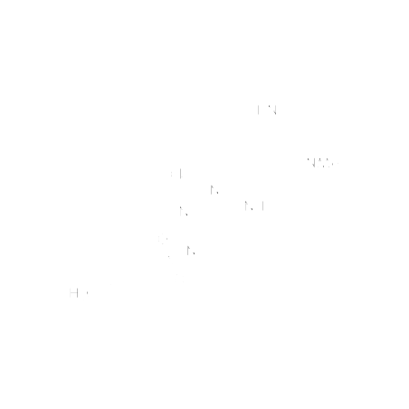 CNc1cc(Nc2nc(Cl)nc3c2ccn3S(=O)(=O)c2ccc(C)cc2)ccc1C=N